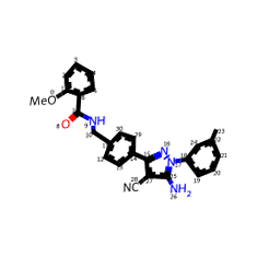 COc1ccccc1C(=O)NCc1ccc(-c2nn(-c3cccc(C)c3)c(N)c2C#N)cc1